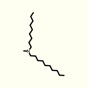 CCCCCCCCCCN(C)CCCCCCCCC